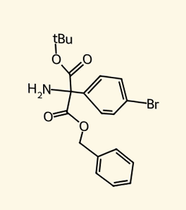 CC(C)(C)OC(=O)C(N)(C(=O)OCc1ccccc1)c1ccc(Br)cc1